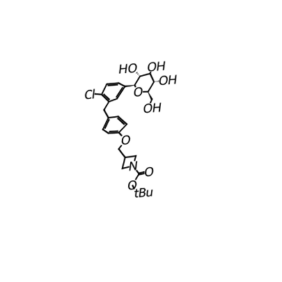 CC(C)(C)OC(=O)N1CC(COc2ccc(Cc3cc([C@@H]4O[C@H](CO)[C@@H](O)C(O)[C@H]4O)ccc3Cl)cc2)C1